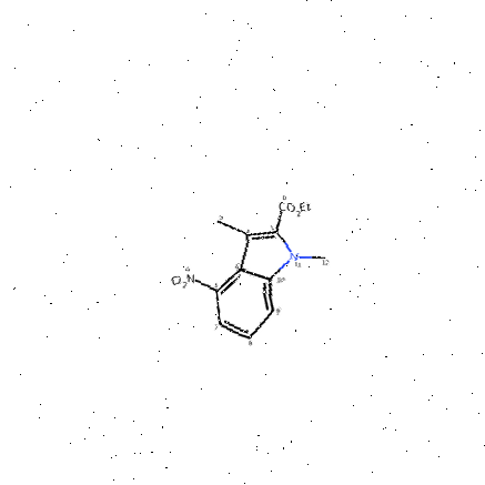 CCOC(=O)c1c(C)c2c([N+](=O)[O-])cccc2n1C